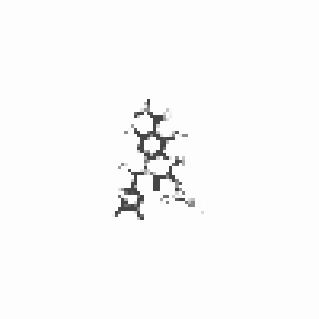 C=C(N[C@@H](c1cc(C)c(C)o1)C(C)C)/C(=N\[S+](N)[O-])Nc1ccc(Br)c(C(=O)N(C)C)c1O